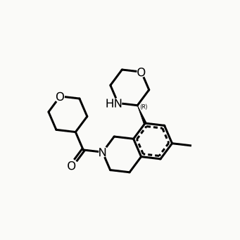 Cc1cc2c(c([C@@H]3COCCN3)c1)CN(C(=O)C1CCOCC1)CC2